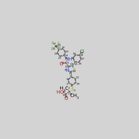 CC(C)(Sc1ccc(-c2nc(C(=O)Nc3ccc(C(F)(F)F)cc3)c(-c3ccc(Cl)cc3)s2)cc1)C(=O)O